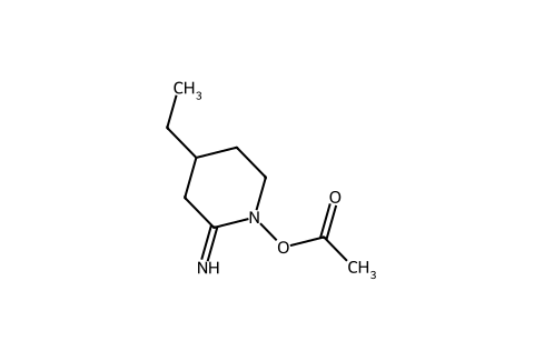 CCC1CCN(OC(C)=O)C(=N)C1